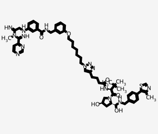 Cc1ncsc1-c1ccc(CNC(O)[C@@H]2C[C@@H](O)CN2C(=O)[C@@H](NC(=O)CCCc2cn(CCCCCCCOc3cccc(CNC(=O)c4cccc(NCC(=N)N(C)C(=N)c5ccncn5)c4)c3)nn2)C(C)(C)C)cc1